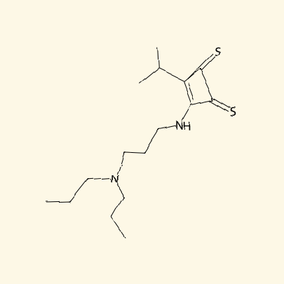 CCCN(CCC)CCCNc1c(C(C)C)c(=S)c1=S